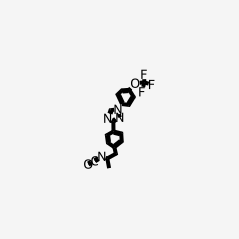 CC(Cc1ccc(-c2ncn(-c3ccc(OC(F)(F)F)cc3)n2)cc1)N=C=O